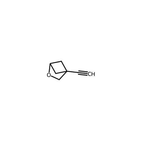 C#CC12COC(C1)C2